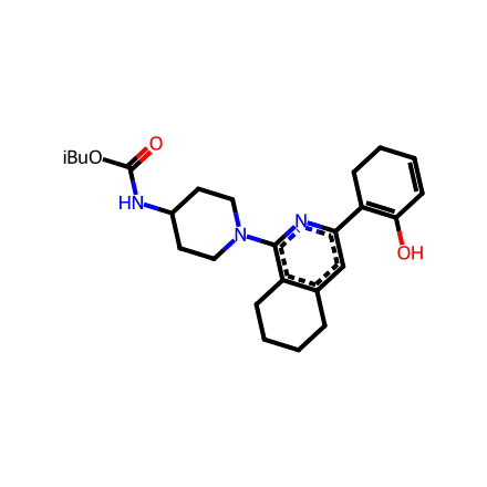 CC(C)COC(=O)NC1CCN(c2nc(C3=C(O)C=CCC3)cc3c2CCCC3)CC1